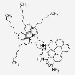 CCCCCCc1ccc2c(c1)c1cc(CCCCCC)ccc1n2CCCNC(=O)c1c(C(N)=O)c2c(C(N)=O)ccc3c4cccc5cccc(c(c1C(=O)NCCCn1c6ccc(CCCCCC)cc6c6cc(CCCCCC)ccc61)c23)c54